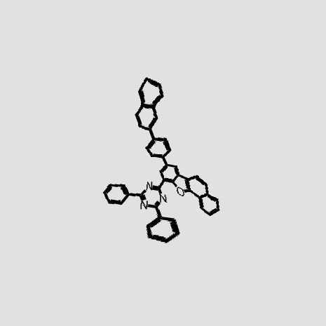 c1ccc(-c2nc(-c3ccccc3)nc(-c3cc(-c4ccc(-c5ccc6ccccc6c5)cc4)cc4c3oc3c5ccccc5ccc43)n2)cc1